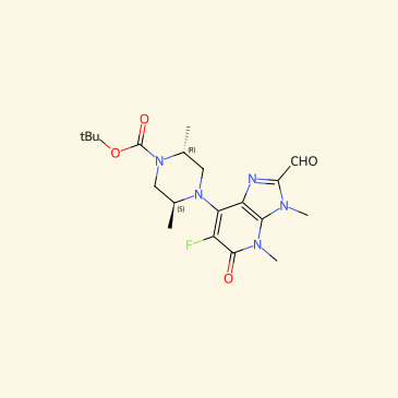 C[C@@H]1CN(c2c(F)c(=O)n(C)c3c2nc(C=O)n3C)[C@@H](C)CN1C(=O)OC(C)(C)C